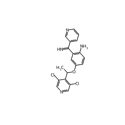 CC(Oc1ccc(N)c(C(=N)c2cccnc2)c1)c1c(Cl)cncc1Cl